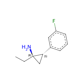 CC[C@@]1(N)C[C@H]1c1cccc(F)c1